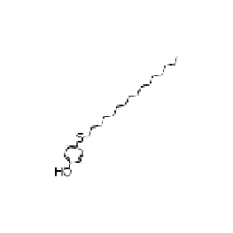 CCCCCCCCCCCCCCCCSc1ccc(O)cc1